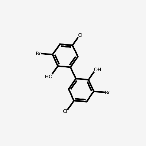 Oc1c(Br)cc(Cl)cc1-c1cc(Cl)cc(Br)c1O